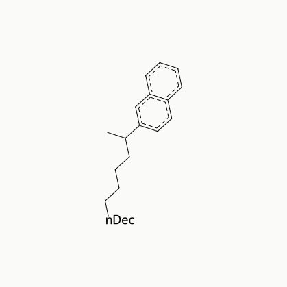 CCCCCCCCCCCCCCC(C)c1ccc2ccccc2c1